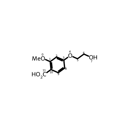 COc1cc(OCCO)ccc1C(=O)O